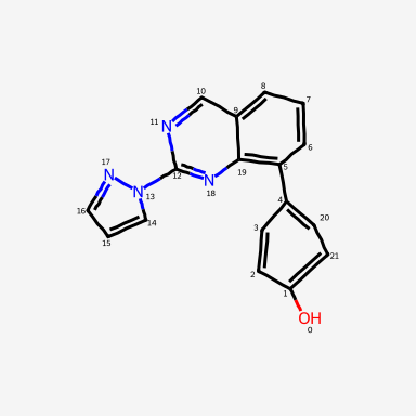 Oc1ccc(-c2cccc3cnc(-n4cccn4)nc23)cc1